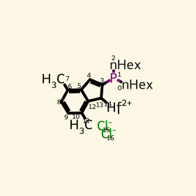 CCCCCCP(CCCCCC)C1=Cc2c(C)ccc(C)c2[CH]1[Hf+2].[Cl-].[Cl-]